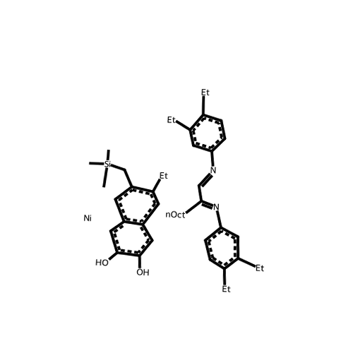 CCCCCCCCC(C=Nc1ccc(CC)c(CC)c1)=Nc1ccc(CC)c(CC)c1.CCc1cc2cc(O)c(O)cc2cc1C[Si](C)(C)C.[Ni]